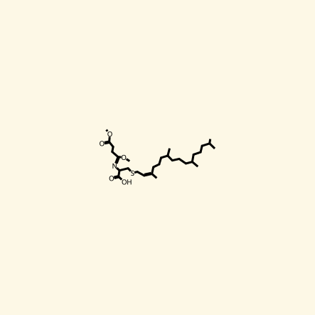 COC(=O)CCC(=NC(CSCC=C(C)CCCC(C)CCCC(C)CCCC(C)C)C(=O)O)OC